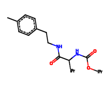 Cc1ccc(CCNC(=O)C(NC(=O)OC(C)C)C(C)C)cc1